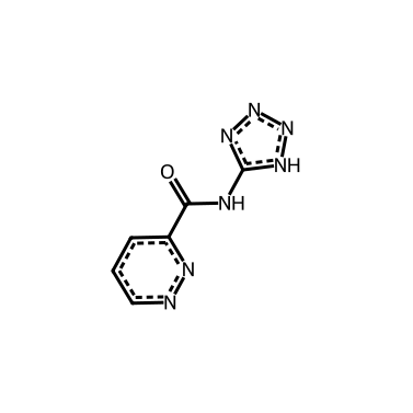 O=C(Nc1nnn[nH]1)c1cccnn1